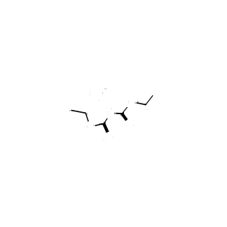 CCOC(=O)OC(=O)OCC.O